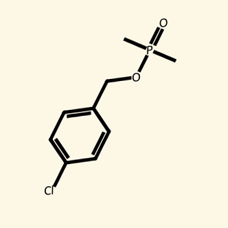 CP(C)(=O)OCc1ccc(Cl)cc1